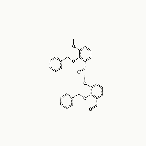 COc1cccc(C=O)c1OCc1ccccc1.COc1cccc(C=O)c1OCc1ccccc1